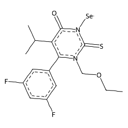 CCOCn1c(-c2cc(F)cc(F)c2)c(C(C)C)c(=O)n([Se])c1=S